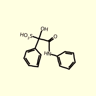 O=C(Nc1ccccc1)C(O)(c1ccccc1)S(=O)(=O)O